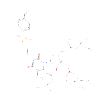 Cc1ccc(S(=O)(=O)OCCn2c(=O)c(C)cn(C3OC(COC(=O)OC(C)(C)C)[C@@H](OC(=O)OC(C)(C)C)[C@H]3OC(=O)OC(C)(C)C)c2=O)cc1